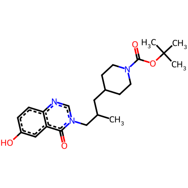 CC(CC1CCN(C(=O)OC(C)(C)C)CC1)Cn1cnc2ccc(O)cc2c1=O